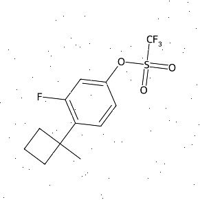 CC1(c2ccc(OS(=O)(=O)C(F)(F)F)cc2F)CCC1